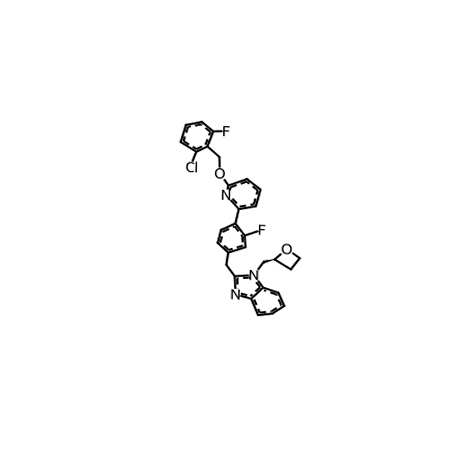 Fc1cc(Cc2nc3ccccc3n2C[C@@H]2CCO2)ccc1-c1cccc(OCc2c(F)cccc2Cl)n1